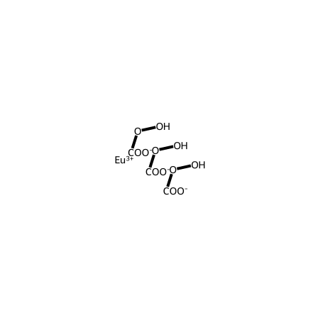 O=C([O-])OO.O=C([O-])OO.O=C([O-])OO.[Eu+3]